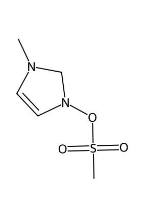 CN1C=CN(OS(C)(=O)=O)C1